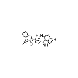 CC(C)(C)OC(=O)N(Cc1ccccc1)C12CCC(C(=N)c3c(N)cnc4[nH]ccc34)(CC1)CC2